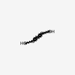 OCCCCCCOc1ccc(N=Nc2ccc(OCCCCCCO)cc2)cc1